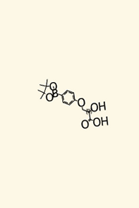 CC1(C)OB(c2ccc(OC[C@@H](O)C(=O)O)cc2)OC1(C)C